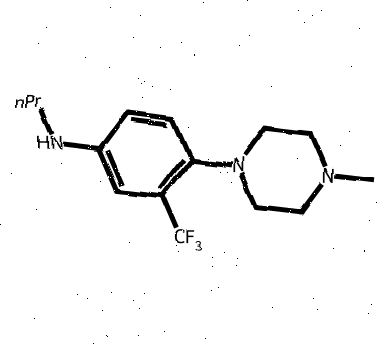 CCCNc1ccc(N2CCN(C)CC2)c(C(F)(F)F)c1